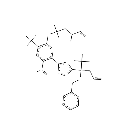 C=CC[C@@](OCc1ccccc1)(c1nnc(-c2nc(NC(C)(C)CC(O)C=C)c(C(F)(F)F)cc2[N+](=O)[O-])o1)C(F)(F)F